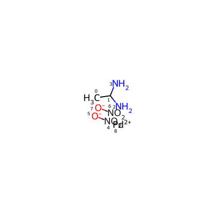 CC(N)N.O=[N+]([O-])[O-].O=[N+]([O-])[O-].[Pd+2]